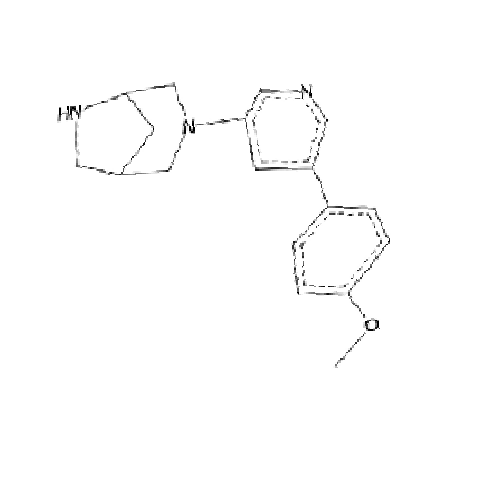 COc1ccc(-c2cncc(N3CC4CNC(C4)C3)c2)cc1